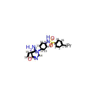 CC(C)c1ccc(S(=O)(=O)Nc2ccc(N3CN=c4occc4=C3N)cc2)cc1